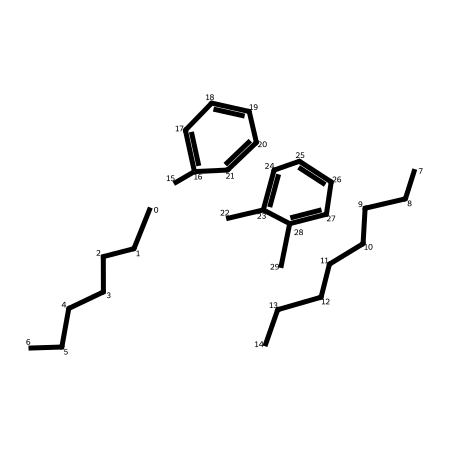 CCCCCCC.CCCCCCCC.Cc1ccccc1.Cc1ccccc1C